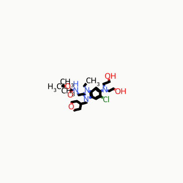 CCn1c(CNC(=O)OC(C)(C)C)[n+](CC2CCOCC2)c2cc(Cl)c(N(CCO)CCO)cc21